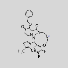 Cc1scc(C2c3ccc(F)c(F)c3OC/C=C\CN3CN2n2ccc(=O)c(OCc4ccccc4)c2C3=O)c1C